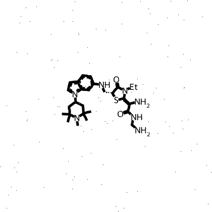 CCN1C(=O)[C@@H](CNc2ccc3ccn(C4CC(C)(C)N(C)C(C)(C)C4)c3c2)S/C1=C(/N)C(=O)NCN